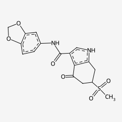 CS(=O)(=O)C1CC(=O)c2c(C(=O)Nc3ccc4c(c3)OCO4)c[nH]c2C1